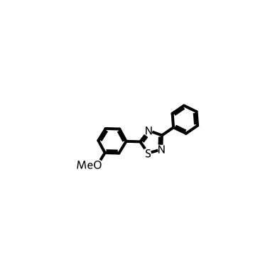 COc1cccc(-c2nc(-c3ccccc3)ns2)c1